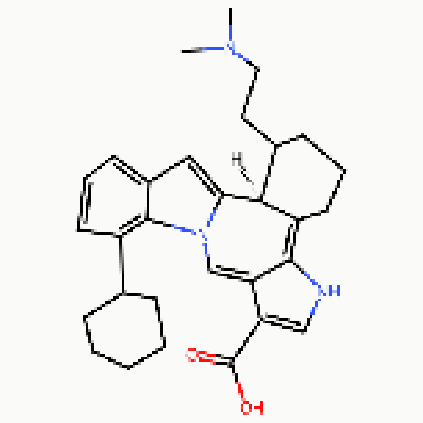 CN(C)CCC1CCCC2=c3[nH]cc(C(=O)O)c3=Cn3c(cc4cccc(C5CCCCC5)c43)[C@H]21